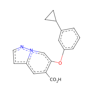 O=C(O)c1cc2ccnn2cc1Oc1cccc(C2CC2)c1